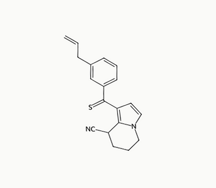 C=CCc1cccc(C(=S)c2ccn3c2C(C#N)CCC3)c1